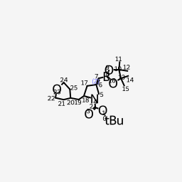 CC(C)(C)OC(=O)N1C/C(=C\B2OC(C)(C)C(C)(C)O2)CC1CC1CCOCC1